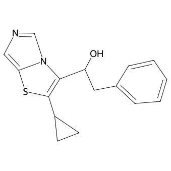 OC(Cc1ccccc1)c1c(C2CC2)sc2cncn12